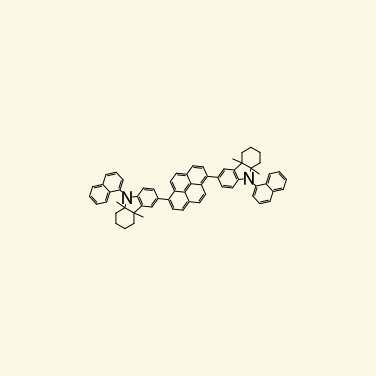 CC12CCCCC1(C)N(c1cccc3ccccc13)c1ccc(-c3ccc4ccc5c(-c6ccc7c(c6)C6(C)CCCCC6(C)N7c6cccc7ccccc67)ccc6ccc3c4c65)cc12